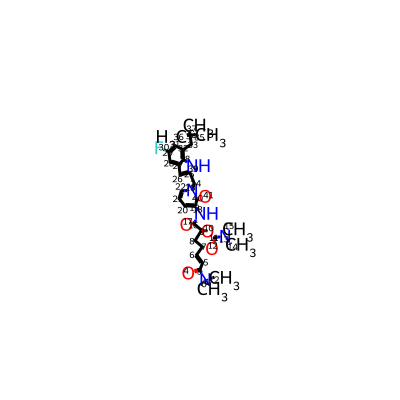 CN(C)C(=O)C=CCCC(OC(=O)N(C)C)C(=O)Nc1cccn(Cc2cc3cc(F)cc(CC(C)(C)C)c3[nH]2)c1=O